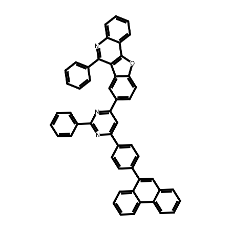 c1ccc(-c2nc(-c3ccc(-c4cc5ccccc5c5ccccc45)cc3)cc(-c3ccc4oc5c6ccccc6nc(-c6ccccc6)c5c4c3)n2)cc1